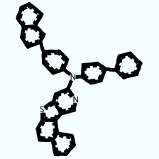 c1ccc(-c2ccc(N(c3ccc(-c4ccc5ccccc5c4)cc3)c3cc4sc5ccc6ccccc6c5c4cn3)cc2)cc1